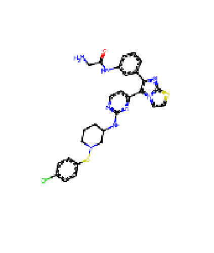 NCC(=O)Nc1cccc(-c2nc3sccn3c2-c2ccnc(NC3CCCN(Sc4ccc(Cl)cc4)C3)n2)c1